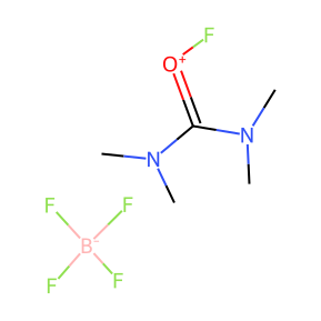 CN(C)C(=[O+]F)N(C)C.F[B-](F)(F)F